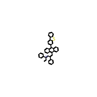 C=C/C(=C\C(=Cc1c2ccccc2c(-c2ccc3c(c2)sc2ccccc23)c2ccccc12)c1ccccc1)c1ccccc1